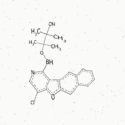 CC(C)(O)C(C)(C)OBc1ncc(Cl)c2oc3cc4ccccc4cc3c12